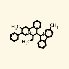 C=CC1C(C2c3ccccc3-c3ccc(C)c[n+]32)c2ccccc2-c2cc(C)c(-c3ccccc3)c[n+]21